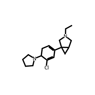 CCN1CC2CC2(C2=CCC(N3CCCC3)C(Cl)=C2)C1